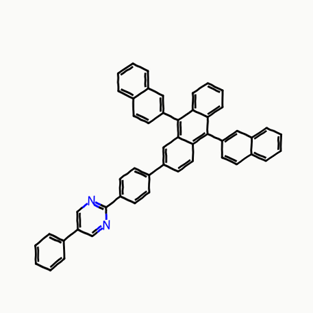 c1ccc(-c2cnc(-c3ccc(-c4ccc5c(-c6ccc7ccccc7c6)c6ccccc6c(-c6ccc7ccccc7c6)c5c4)cc3)nc2)cc1